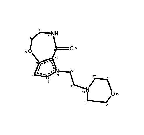 O=C1NCCOc2cnn(CCN3CCOCC3)c21